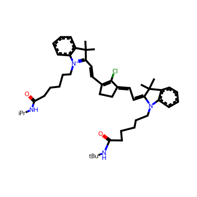 CC(C)NC(=O)CCCCC[N+]1=C(/C=C/C2=C(Cl)C(=C/C=C3/N(CCCCCC(=O)NC(C)(C)C)c4ccccc4C3(C)C)/CC2)C(C)(C)c2ccccc21